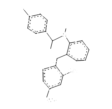 COc1ccc(Cc2ccccc2N(C)C(C)c2ccc(C)cc2)c(C(C)C)c1